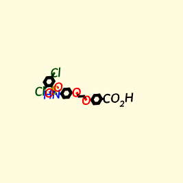 O=C(O)c1ccc(OCCOc2ccc(NS(=O)(=O)c3cc(Cl)ccc3Cl)cc2)cc1